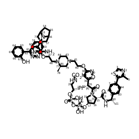 Cc1ncsc1-c1ccc([C@H](C)NC(=O)[C@@H]2C[C@@H](OP(=O)(O)OP(=O)(O)OCCNC(=O)O)CN2C(=O)[C@@H](c2cc(OCCN3CCN(CCOc4cc(N5C6CCC5CN(c5cc(-c7ccccc7O)nnc5N)C6)ccn4)[C@H](C)C3)no2)C(C)C)cc1